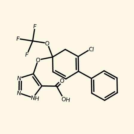 O=C(O)c1[nH]nnc1OC1(OC(F)(F)F)C=CC(c2ccccc2)=C(Cl)C1